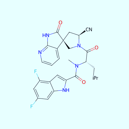 CC(C)C[C@@H](C(=O)N1C[C@]2(C[C@H]1C#N)C(=O)Nc1ncccc12)N(C)C(=O)c1cc2c(F)cc(F)cc2[nH]1